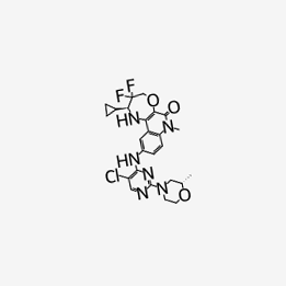 C[C@H]1CN(c2ncc(Cl)c(Nc3ccc4c(c3)c3c(c(=O)n4C)OCC(F)(F)[C@H](C4CC4)N3)n2)CCO1